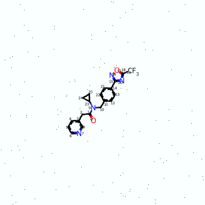 O=C(Cc1cccnc1)N(Cc1ccc(-c2noc(C(F)(F)F)n2)cc1)C1CC1